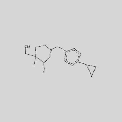 CC1(CC#N)CCN(Cc2ccc(C3CC3)cc2)CC1F